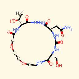 CC(O)[C@H]1NC(=O)COCCOCCNC(=O)[C@@H](CO)NC(=O)N[C@H](CC(N)=O)C(=O)NNC1=O